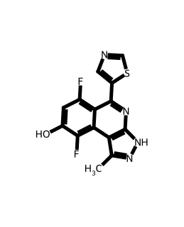 Cc1n[nH]c2nc(-c3cncs3)c3c(F)cc(O)c(F)c3c12